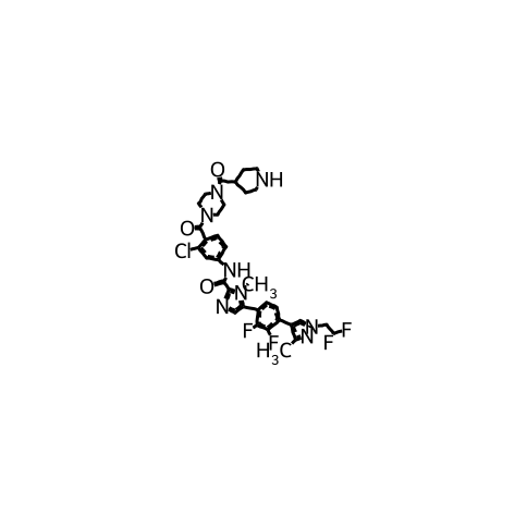 Cc1nn(CC(F)F)cc1-c1ccc(-c2cnc(C(=O)Nc3ccc(C(=O)N4CCN(C(=O)C5CCNCC5)CC4)c(Cl)c3)n2C)c(F)c1F